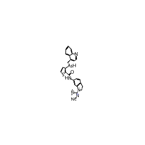 CN(C)/C(=N\C#N)N1CCc2ccc(NC(=O)c3sccc3[AsH]Cc3ccnc4ccccc34)cc21